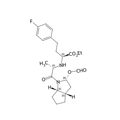 CCOC(=O)[C@H](CCc1ccc(F)cc1)N[C@@H](C)C(=O)N1[C@H](OC=O)C[C@@H]2CCC[C@@H]21